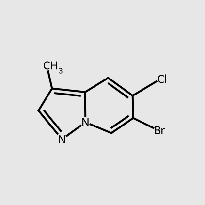 Cc1cnn2cc(Br)c(Cl)cc12